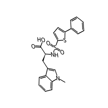 Cn1cc(C[C@H](NS(=O)(=O)c2ccc(-c3ccccc3)s2)C(=O)O)c2ccccc21